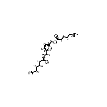 CC(C)CCCCC(=O)OCc1ccc(COC(=O)CCCCC(C)C)o1